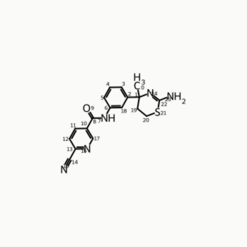 CC1(c2cccc(NC(=O)c3ccc(C#N)nc3)c2)CCSC(N)=N1